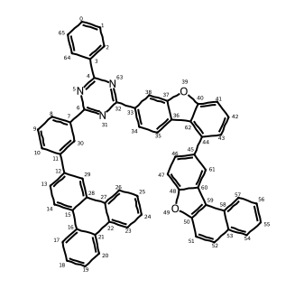 c1ccc(-c2nc(-c3cccc(-c4ccc5c6ccccc6c6ccccc6c5c4)c3)nc(-c3ccc4c(c3)oc3cccc(-c5ccc6oc7ccc8ccccc8c7c6c5)c34)n2)cc1